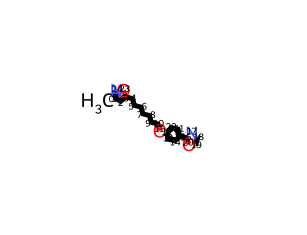 Cc1cc(CCCCCCCOc2ccc(C3=NCCO3)cc2)on1